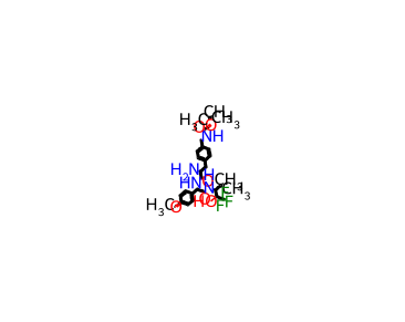 COc1ccc([C@H](NC(=O)[C@@H](N)Cc2ccc(CNC(=O)OC(C)(C)C)cc2)C(=O)N[C@@H](C(C)C)[C@H](O)C(F)(F)F)cc1